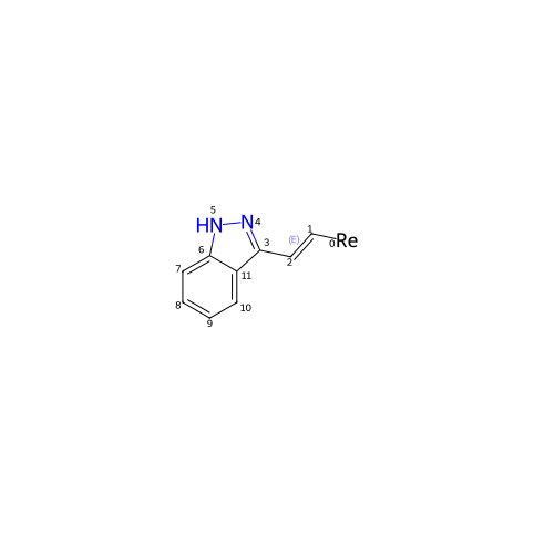 [Re]/[CH]=C/c1n[nH]c2ccccc12